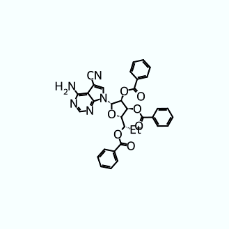 CC[C@H](OC(=O)c1ccccc1)[C@@H]1O[C@H](n2cc(C#N)c3c(N)ncnc32)[C@@H](OC(=O)c2ccccc2)[C@H]1OC(=O)c1ccccc1